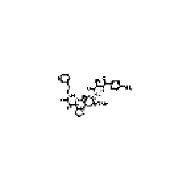 CC[C@H](C)[C@@H]([C@@H](CC(=O)N1CCCC1[C@H](OC)[C@@H](C)C(=O)NCCc1cccnc1)OC)N(C)C(=O)C(NC(=O)c1ccc(N)cc1)C(C)C